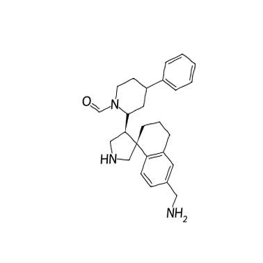 NCc1ccc2c(c1)CCC[C@]21CNC[C@H]1C1CC(c2ccccc2)CCN1C=O